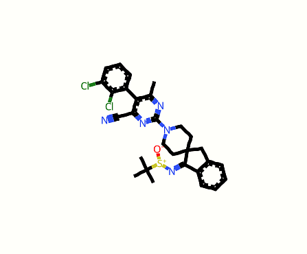 Cc1nc(N2CCC3(CC2)Cc2ccccc2/C3=N/[S+]([O-])C(C)(C)C)nc(C#N)c1-c1cccc(Cl)c1Cl